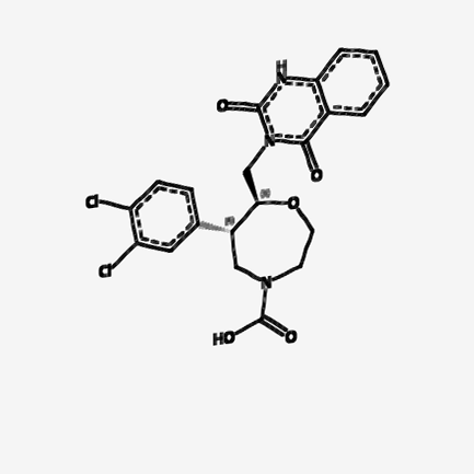 O=C(O)N1CCO[C@H](Cn2c(=O)[nH]c3ccccc3c2=O)[C@@H](c2ccc(Cl)c(Cl)c2)C1